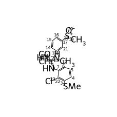 CC(=O)O.CSc1cccc(NC(=N)N(C)c2cccc([S@@+](C)[O-])c2)c1Cl